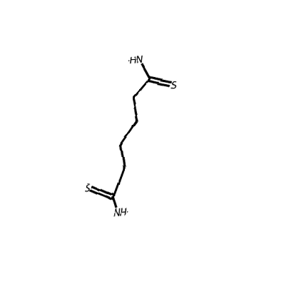 [NH]C(=S)CCCCC([NH])=S